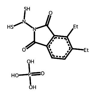 CCc1ccc2c(c1CC)C(=O)N(N(S)S)C2=O.O=P(O)(O)O